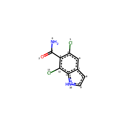 NC(=O)c1c(Cl)cc2c[c][nH]c2c1Cl